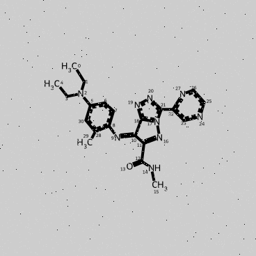 CCN(CC)c1ccc(/N=C2/C(C(=O)NC)=Nn3c2nnc3-c2cnccn2)c(C)c1